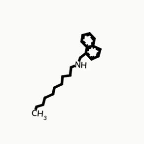 CCCCCCCCCCNCc1cccc2ccccc12